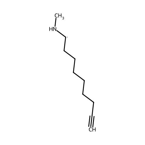 C#CCCCCCC[CH]NC